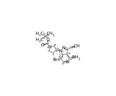 C#Cc1nn([C@H]2CCN(C(=O)OC(C)(C)C)C2)c2c(Br)cnc(N)c12